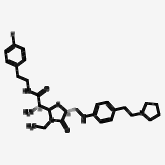 CCN1C(=O)[C@@H](CNc2ccc(CCN3CCCC3)cc2)SC1[C@H](N)C(=O)NCCc1ccc(F)cc1